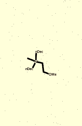 CCCCCCCCCC[N+](C)(CCCCCCCCCC)CCOC